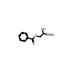 COC(O)COC(=O)c1ccccc1